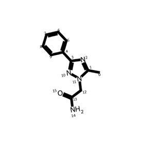 Cc1nc(-c2ccccc2)nn1CC(N)=O